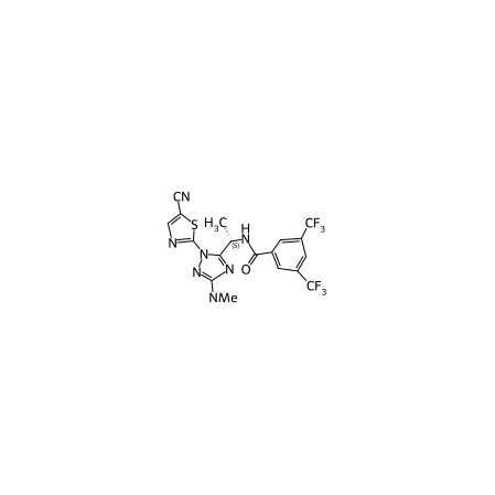 CNc1nc([C@H](C)NC(=O)c2cc(C(F)(F)F)cc(C(F)(F)F)c2)n(-c2ncc(C#N)s2)n1